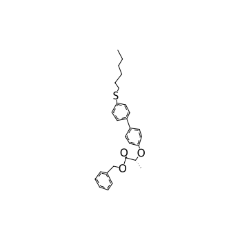 CCCCCCSc1ccc(-c2ccc(O[C@H](C)C(=O)OCc3ccccc3)cc2)cc1